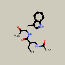 CNC(=O)[C@H](Cc1c[nH]c2ccccc12)NC(=O)C(CNC(=O)OC(C)=O)CC(C)C